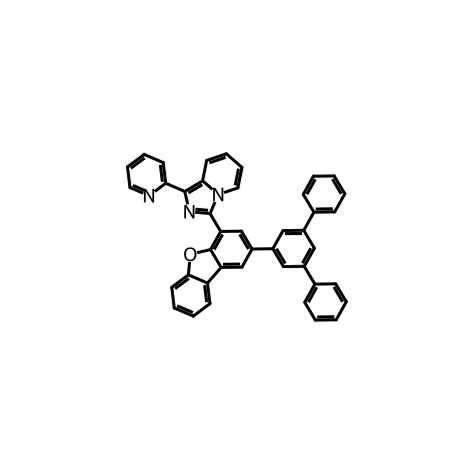 c1ccc(-c2cc(-c3ccccc3)cc(-c3cc(-c4nc(-c5ccccn5)c5ccccn45)c4oc5ccccc5c4c3)c2)cc1